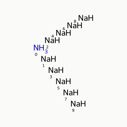 N.[NaH].[NaH].[NaH].[NaH].[NaH].[NaH].[NaH].[NaH].[NaH]